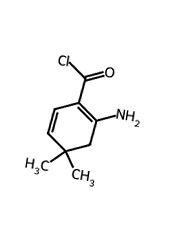 CC1(C)C=CC(C(=O)Cl)=C(N)C1